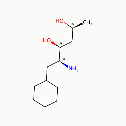 C[C@H](O)C[C@H](O)[C@@H](N)CC1CCCCC1